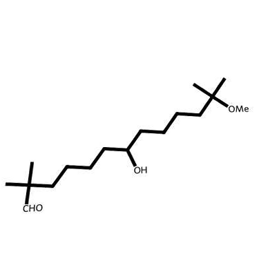 COC(C)(C)CCCCC(O)CCCCC(C)(C)C=O